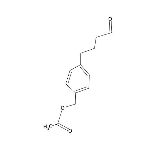 CC(=O)OCc1ccc(CCCC=O)cc1